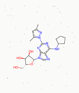 Cc1cc(C)n(-c2nc(NC3CCCC3)c3ncn(C4O[C@H](CO)[C@@H](O)[C@H]4O)c3n2)n1